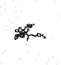 CCCC(F)C(F)(F)C(F)(F)S(=O)(=O)[O-].[Na+]